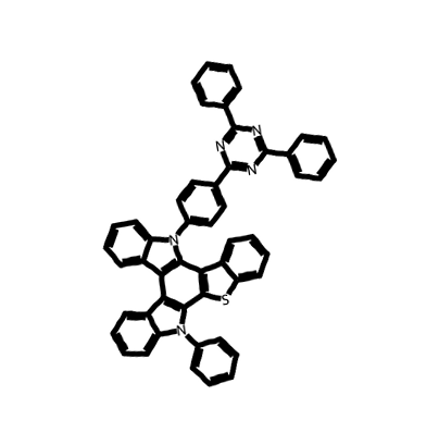 c1ccc(-c2nc(-c3ccccc3)nc(-c3ccc(-n4c5ccccc5c5c6c7ccccc7n(-c7ccccc7)c6c6sc7ccccc7c6c54)cc3)n2)cc1